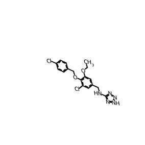 CCOc1cc(CNc2nn[nH]n2)cc(Cl)c1OCc1ccc(Cl)cc1